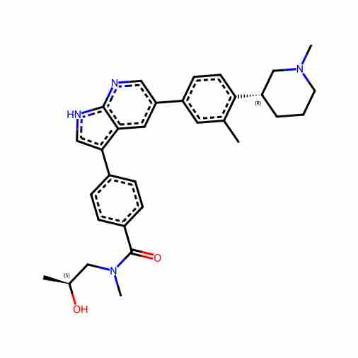 Cc1cc(-c2cnc3[nH]cc(-c4ccc(C(=O)N(C)C[C@H](C)O)cc4)c3c2)ccc1[C@H]1CCCN(C)C1